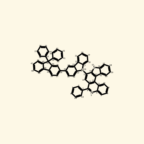 c1ccc(-c2nc3ccccc3c3c2cc(-n2c4ccccc4c4cc(-c5ccc6c(c5)C(c5ccccc5)(c5ccccc5)c5ccccc5-6)ccc42)c2sc4ccccc4c23)cc1